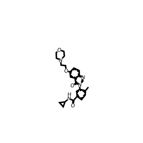 Cc1ccc(C(=O)NC2CC2)cc1-n1cnc2ccc(OCCN3CCOCC3)cc2c1=O